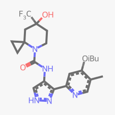 Cc1cnc(-c2n[nH]cc2NC(=O)N2CCC(O)(C(F)(F)F)CC23CC3)cc1OCC(C)C